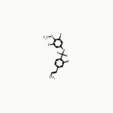 C/C=C/c1ccc(C(F)(F)Oc2cc(F)c(OC(F)(F)F)c(F)c2)c(F)c1